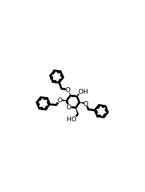 OC[C@H]1O[C@@H](OCc2ccccc2)[C@H](OCc2ccccc2)[C@@H](O)[C@H]1OCc1ccccc1